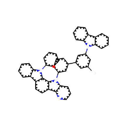 N#Cc1cc(-c2cccc(-n3c4cccnc4c4ccc5c6ccccc6n(-c6ccccc6)c5c43)c2)cc(-n2c3ccccc3c3ccccc32)c1